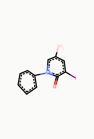 Bc1cc(I)c(=O)n(-c2ccccc2)c1